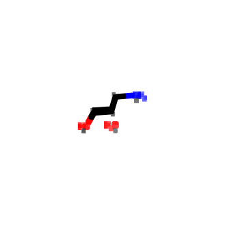 NCC=CO.O